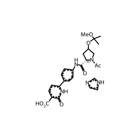 COC(C)(C)OC1C[C@@H](C(=O)Nc2ccc(-c3ccc(C(=O)O)c(=O)[nH]3)cc2)N(C(C)=O)C1.c1c[nH]cn1